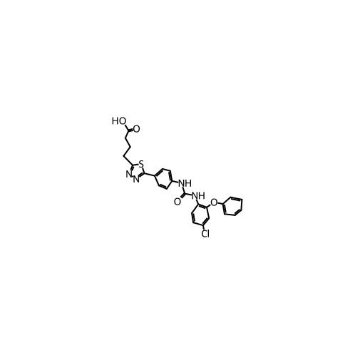 O=C(O)CCCc1nnc(-c2ccc(NC(=O)Nc3ccc(Cl)cc3Oc3ccccc3)cc2)s1